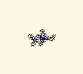 CC1(C)c2ccccc2-c2cccc(C3=NC(c4ccc(-c5ccccc5)cc4)NC(c4ccc(-c5ccccc5)cc4-n4c5ccccc5c5c(-c6cccc7c6c6ccc(-c8ccccc8)cc6n7-c6ccccc6)cccc54)=N3)c21